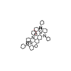 c1ccc(N2c3cccc4c3[SiH]3c5c2cccc5N(c2ccccc2)c2cc5cc6c7c(c5c(c23)O4)N(c2ccccc2)c2cccc3c2[SiH]7c2c(cccc2N3c2ccccc2)O6)cc1